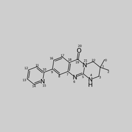 CC1(C)CNc2nc3cc(-c4ccccn4)ccc3c(=O)n2C1